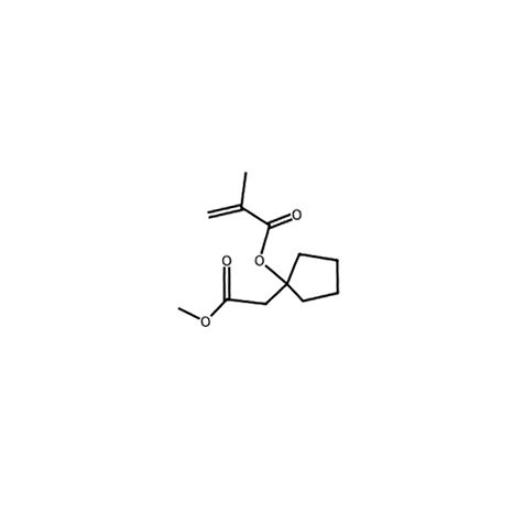 C=C(C)C(=O)OC1(CC(=O)OC)CCCC1